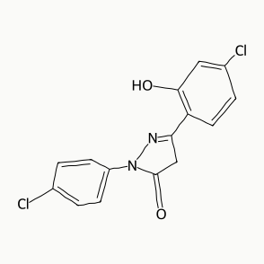 O=C1CC(c2ccc(Cl)cc2O)=NN1c1ccc(Cl)cc1